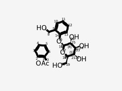 CC(=O)Oc1ccccc1.OCc1ccccc1O[C@@H]1O[C@H](CO)[C@@H](O)[C@H](O)[C@H]1O